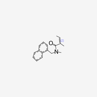 C/C=C(/C)C(=O)N(C)Cc1cccc2ccccc12